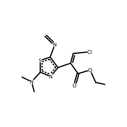 C=Nc1sc(N(C)C)nc1C(=CCl)C(=O)OCC